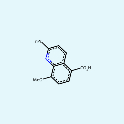 CCCc1ccc2c(C(=O)O)ccc(OC)c2n1